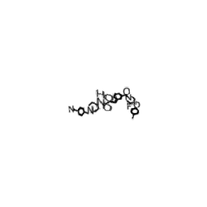 Cc1ccc(O[C@H]2CCN(C(=O)c3ccc4oc(C(=O)NC5CCN(Cc6ccc(C#N)cc6)CC5)cc4c3)C[C@@H]2F)cc1